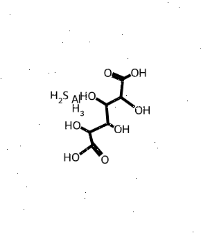 O=C(O)C(O)C(O)C(O)C(O)C(=O)O.S.[AlH3]